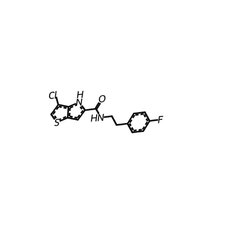 O=C(NCCc1ccc(F)cc1)c1cc2scc(Cl)c2[nH]1